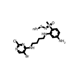 CCCSN=S(C)(=O)c1ccc(N)cc1NCCCCNc1nc(Cl)ncc1Br